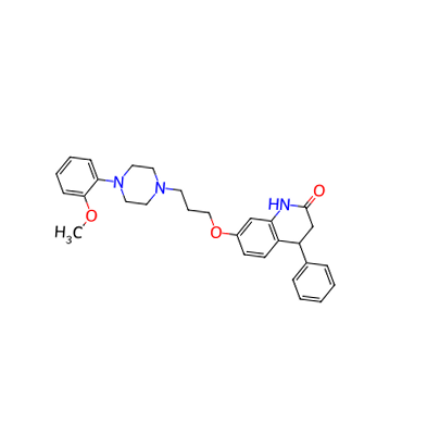 COc1ccccc1N1CCN(CCCOc2ccc3c(c2)NC(=O)CC3c2ccccc2)CC1